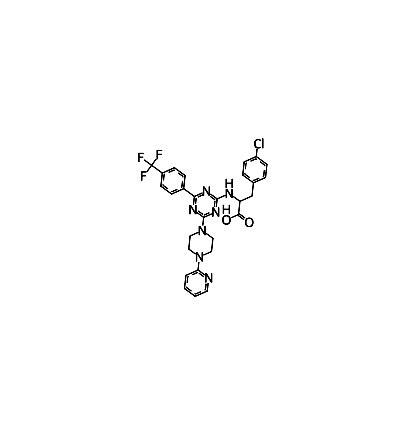 O=C(O)C(Cc1ccc(Cl)cc1)Nc1nc(-c2ccc(C(F)(F)F)cc2)nc(N2CCN(c3ccccn3)CC2)n1